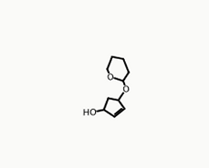 OC1C=CC(OC2CCCCO2)C1